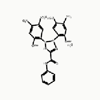 COc1cc([N+](=O)[O-])c(S(=O)(=O)O)cc1N1N=C(C(=O)Nc2ccccc2)NN1c1cc(S(=O)(=O)O)c([N+](=O)[O-])cc1OC.O